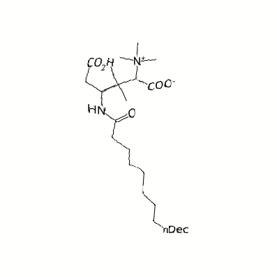 CCCCCCCCCCCCCCCCCC(=O)NC(CC(=O)O)C(C)(C)C(C(=O)[O-])[N+](C)(C)C